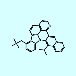 CC(C)c1c2ccccc2cc2c3nccc4ccc5c6c(CC(C)(C)C)cccc6n(c12)c5c43